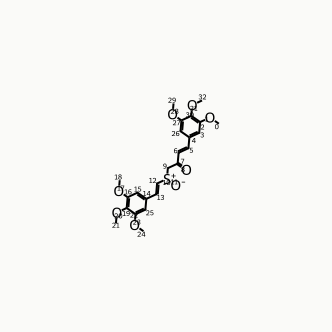 COc1cc(/C=C/C(=O)C[S+]([O-])/C=C/c2cc(OC)c(OC)c(OC)c2)cc(OC)c1OC